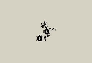 COc1cc(NC(=O)Oc2ccccc2)ccc1CNS(C)(=O)=O